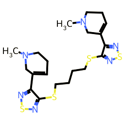 CN1CCC=C(c2nsnc2SCCCCSc2nsnc2C2=CCCN(C)C2)C1